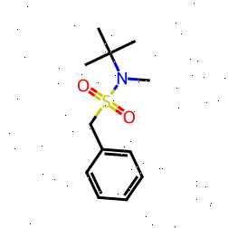 CN(C(C)(C)C)S(=O)(=O)Cc1ccccc1